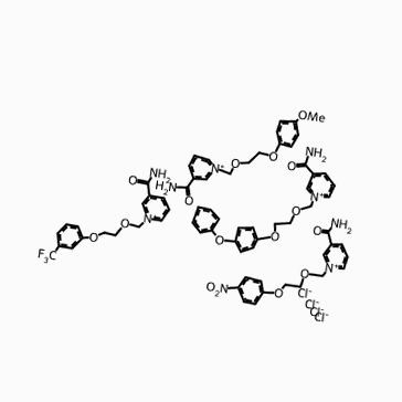 COc1ccc(OCCOC[n+]2cccc(C(N)=O)c2)cc1.NC(=O)c1ccc[n+](COCCOc2ccc(Oc3ccccc3)cc2)c1.NC(=O)c1ccc[n+](COCCOc2ccc([N+](=O)[O-])cc2)c1.NC(=O)c1ccc[n+](COCCOc2cccc(C(F)(F)F)c2)c1.[Cl-].[Cl-].[Cl-].[Cl-]